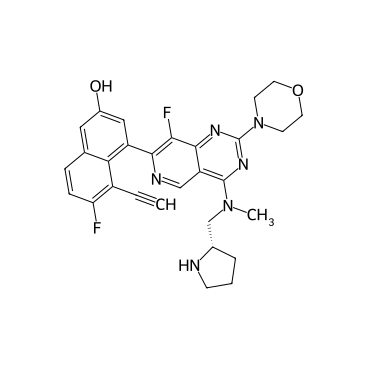 C#Cc1c(F)ccc2cc(O)cc(-c3ncc4c(N(C)C[C@@H]5CCCN5)nc(N5CCOCC5)nc4c3F)c12